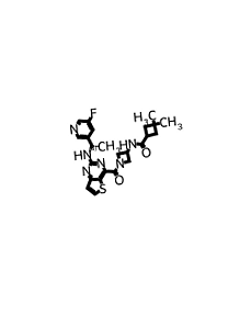 C[C@H](Nc1nc(C(=O)N2CC(NC(=O)C3CC(C)(C)C3)C2)c2sccc2n1)c1cncc(F)c1